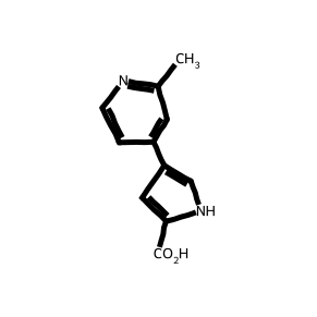 Cc1cc(-c2c[nH]c(C(=O)O)c2)ccn1